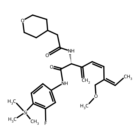 C=C(/C=C\C(=C/C)COC)[C@@H](NC(=O)CC1CCOCC1)C(=O)Nc1ccc([Si](C)(C)C)c(F)c1